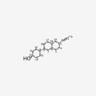 CC#Cc1ccc2cc(-c3ccc(O)cc3)ccc2c1